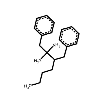 CCCCC(Cc1ccccc1)C(N)(N)Cc1ccccc1